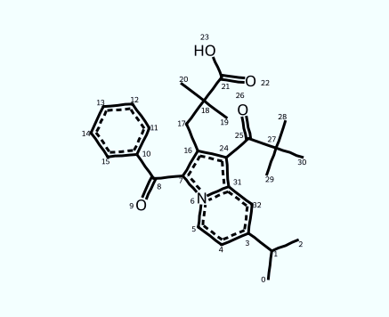 CC(C)c1ccn2c(C(=O)c3ccccc3)c(CC(C)(C)C(=O)O)c(C(=O)C(C)(C)C)c2c1